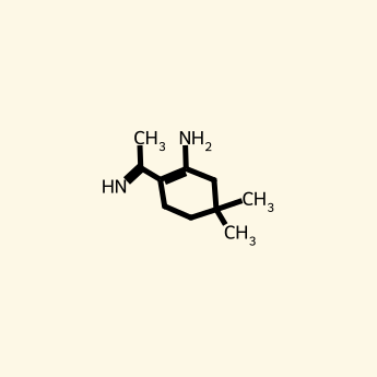 CC(=N)C1=C(N)CC(C)(C)CC1